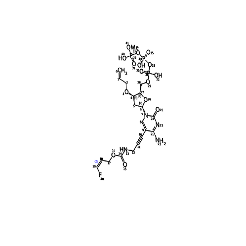 C=CCO[C@@H]1C[C@H](n2cc(C#CCNC(=O)OC/C=C\F)c(N)nc2=O)O[C@@H]1COP(=O)(O)OP(=O)(O)OP(=O)(O)OC